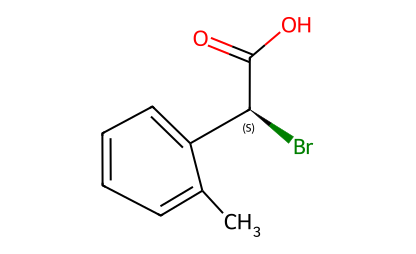 Cc1ccccc1[C@H](Br)C(=O)O